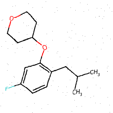 CC(C)Cc1ccc(F)cc1OC1CCOCC1